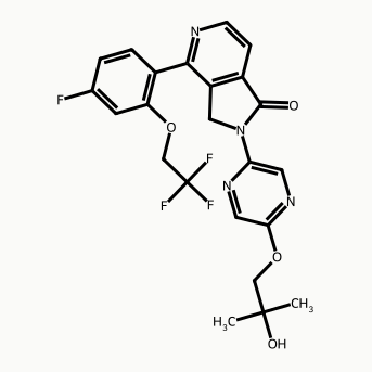 CC(C)(O)COc1cnc(N2Cc3c(ccnc3-c3ccc(F)cc3OCC(F)(F)F)C2=O)cn1